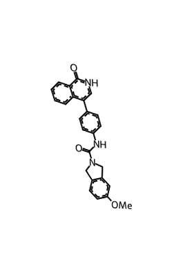 COc1ccc2c(c1)CN(C(=O)Nc1ccc(-c3c[nH]c(=O)c4ccccc34)cc1)C2